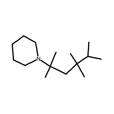 CC(C)C(C)(C)CC(C)(C)N1CCCCC1